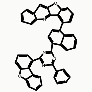 c1ccc(-c2nc(-c3ccc(-c4cccc5oc6cc7ccccc7nc6c45)c4ccccc34)nc(-c3cccc4oc5ccccc5c34)n2)cc1